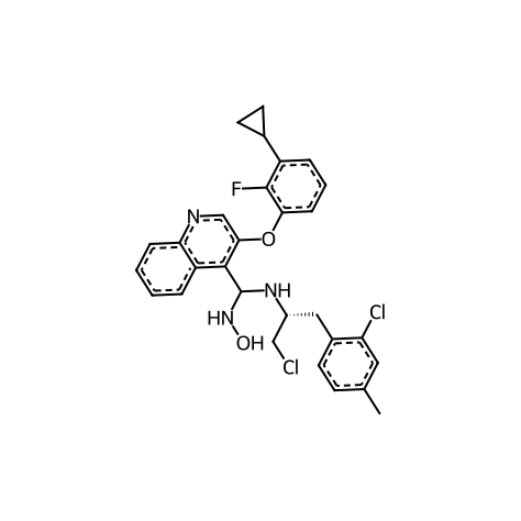 Cc1ccc(C[C@H](CCl)NC(NO)c2c(Oc3cccc(C4CC4)c3F)cnc3ccccc23)c(Cl)c1